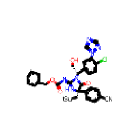 CC(C)(C)C[C@]1(c2ccc(C#N)cc2)NC(=NC(=O)OCc2ccccc2)N([C@H](CO)c2ccc(Cl)c(-n3cncn3)c2)C1=O